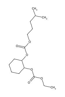 CCOC(=O)OC1CCCCC1OC(=O)OCCCC(C)C